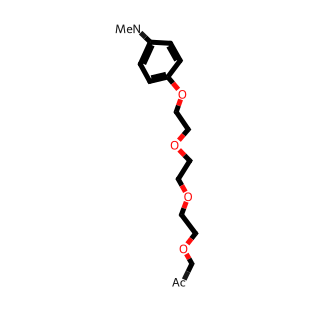 CNc1ccc(OCCOCCOCCOCC(C)=O)cc1